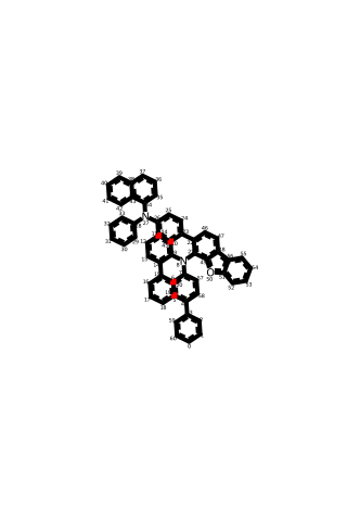 c1ccc(-c2ccc(N(c3ccccc3-c3ccccc3)c3c(-c4ccc(N(c5ccccc5)c5cccc6ccccc56)cc4)ccc4c3oc3ccccc34)cc2)cc1